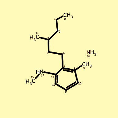 CCCC(C)CCc1c(C)cccc1NC.N